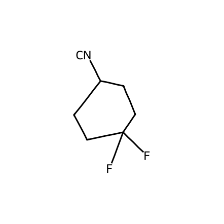 [C-]#[N+]C1CCC(F)(F)CC1